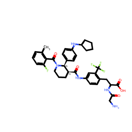 Cc1cccc(F)c1C(=O)N1CCC[C@H](C(=O)Nc2ccc(CC(NC(=O)CN)C(=O)O)c(C(F)(F)F)c2)[C@@H]1c1ccc(NC2CCCC2)cc1